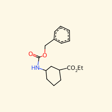 CCOC(=O)C1CCCC(NC(=O)OCc2ccccc2)C1